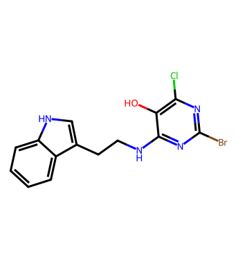 Oc1c(Cl)nc(Br)nc1NCCc1c[nH]c2ccccc12